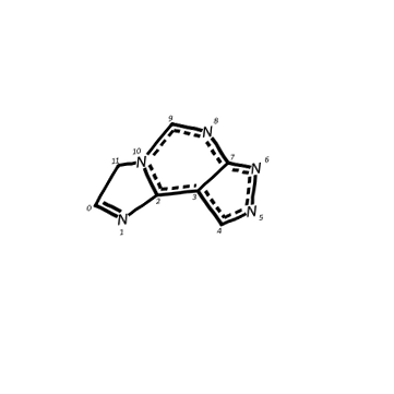 C1=Nc2c3cnnc-3ncn2C1